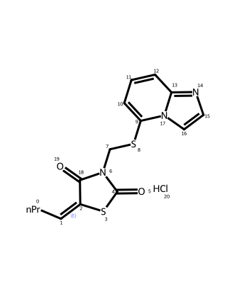 CCC/C=C1/SC(=O)N(CSc2cccc3nccn23)C1=O.Cl